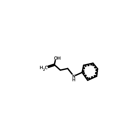 C=C(O)CCNc1ccccc1